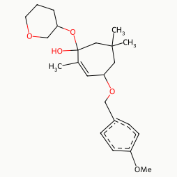 COc1ccc(COC2C=C(C)C(O)(OC3CCCOC3)CC(C)(C)C2)cc1